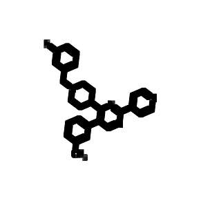 Cc1cccc(-c2cnc(-c3ccncc3)nc2C2CCN(Cc3cccc(F)c3)CC2)c1